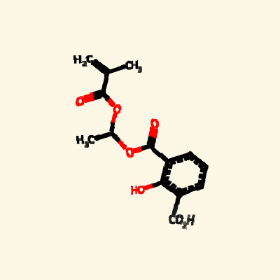 C=C(C)C(=O)OC(C)OC(=O)c1cccc(C(=O)O)c1O